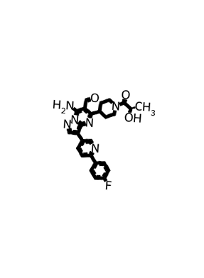 C[C@@H](O)C(=O)N1CCC(c2nc3c(-c4ccc(-c5ccc(F)cc5)nc4)cnn3c(N)c2C=O)CC1